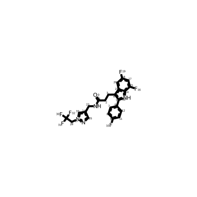 O=C(CCc1c(-c2ccc(F)cc2)[nH]c2c(F)cc(F)cc12)NCc1cnn(CC(F)(F)F)c1